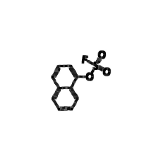 O=S(=O)(F)Oc1cccc2ccccc12